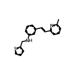 Cc1cccc(C=Cc2cccc(NCc3cccs3)c2)n1